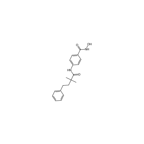 CC(C)(CCc1ccccc1)C(=O)Nc1ccc(C(=O)NO)cc1